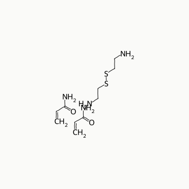 C=CC(N)=O.C=CC(N)=O.NCCSSCCN